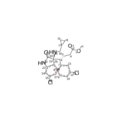 COC(=O)CC[C@H](c1cccc(Cl)c1)[C@@]1(NCC2CC2)C(=O)Nc2cc(Cl)ccc21